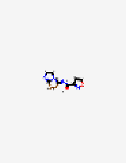 O=C(N=C1SSC2=NCCN21)c1ccon1